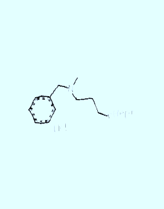 CCCCCCCCCCN(C)Cc1ccccc1.Cl